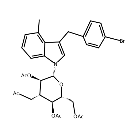 CC(=O)C[C@@H]1[C@@H](OC(C)=O)[C@H](n2cc(Cc3ccc(Br)cc3)c3c(C)cccc32)O[C@H](COC(C)=O)[C@H]1OC(C)=O